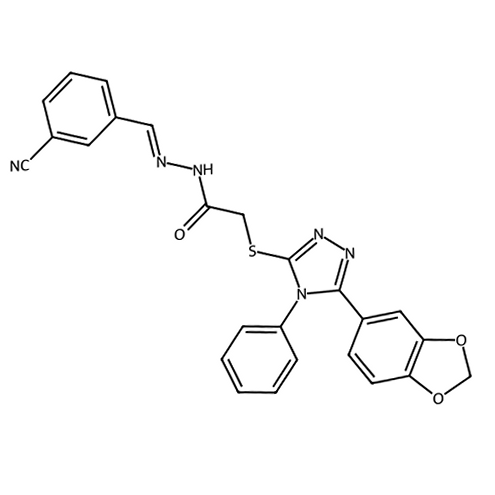 N#Cc1cccc(C=NNC(=O)CSc2nnc(-c3ccc4c(c3)OCO4)n2-c2ccccc2)c1